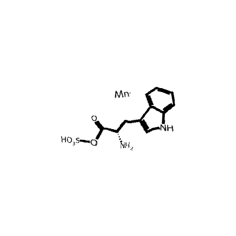 N[C@@H](Cc1c[nH]c2ccccc12)C(=O)OS(=O)(=O)O.[Mn]